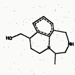 CC1CNCc2cccc3c2N1CCC3CO